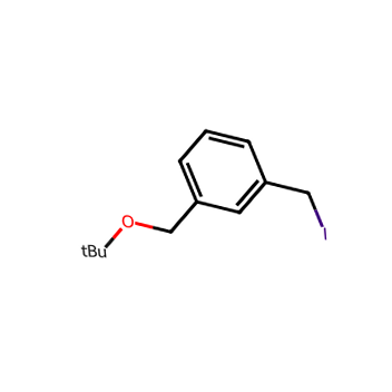 CC(C)(C)OCc1cccc(CI)c1